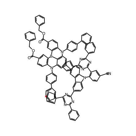 N#Cc1ccc(-n2c3ccc(-c4cc5c6c(c4)N(c4ccc(-c7ccccc7)cc4)c4ccc(C(=O)OCc7ccccc7)cc4B6c4cc(C(=O)OCc6ccccc6)ccc4N5c4ccc(-c5ccccc5)cc4)cc3c3cc(-c4nc(-c5ccccc5)nc(-c5ccccc5)n4)ccc32)c(-c2nc(-c3ccccc3)nc(-c3ccccc3)n2)c1